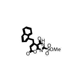 COS(=O)(=O)c1nc2oc(=O)cc(Cc3cccc4ccccc34)c2c(=O)[nH]1